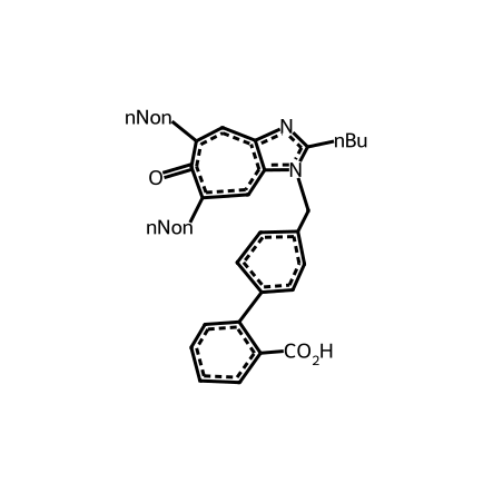 CCCCCCCCCc1cc2nc(CCCC)n(Cc3ccc(-c4ccccc4C(=O)O)cc3)c2cc(CCCCCCCCC)c1=O